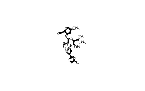 CO[C@@H](Cn1cc(-c2nc(Cl)cs2)nn1)C(OC(CO)[C@@H](C)O)Sc1cc(C)cnc1C#N